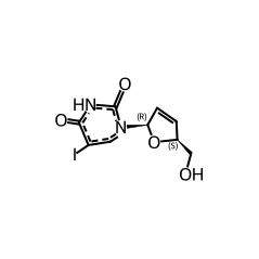 O=c1[nH]c(=O)n([C@H]2C=C[C@@H](CO)O2)cc1I